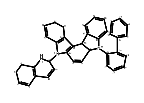 C1=CC2=C(CC1)NC(n1c3c(c4c1C=CC1C4c4ccccc4N1c1ccccc1-c1ccccc1)CCC=C3)C=C2